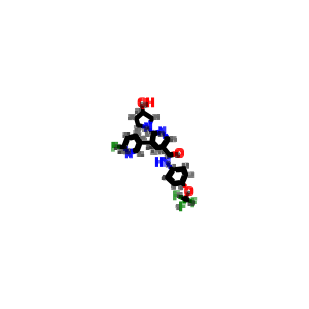 O=C(Nc1ccc(OC(F)(F)F)cc1)c1cnc(N2CCC(O)C2)c(-c2ccc(F)nc2)c1